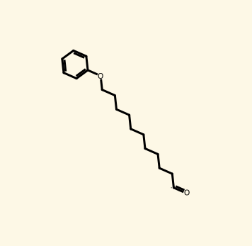 O=[C]CCCCCCCCCCOc1ccccc1